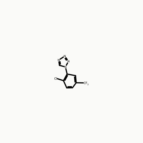 FC(F)(F)c1ccc(Cl)c(-n2cnnn2)c1